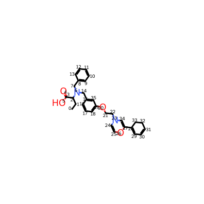 CCC(C(=O)O)N(Cc1ccccc1)Cc1cccc(OCCN2C=COC(C3=CC=CCC3)=C2)c1